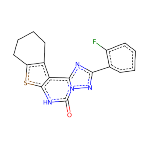 O=c1[nH]c2sc3c(c2c2nc(-c4ccccc4F)nn12)CCCC3